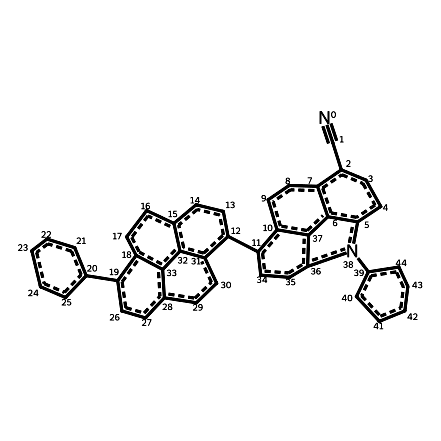 N#Cc1ccc2c3c1ccc1c(-c4ccc5ccc6c(-c7ccccc7)ccc7ccc4c5c76)ccc(c13)n2-c1ccccc1